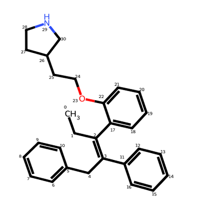 CCC(=C(Cc1ccccc1)c1ccccc1)c1ccccc1OCCC1CCNC1